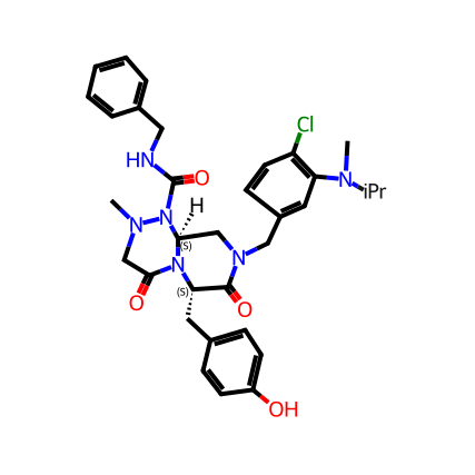 CC(C)N(C)c1cc(CN2C[C@H]3N(C(=O)CN(C)N3C(=O)NCc3ccccc3)[C@@H](Cc3ccc(O)cc3)C2=O)ccc1Cl